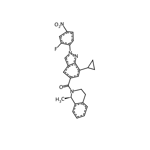 C[C@@H]1c2ccccc2CCN1C(=O)c1cc(C2CC2)c2nn(-c3ccc([N+](=O)[O-])cc3F)cc2c1